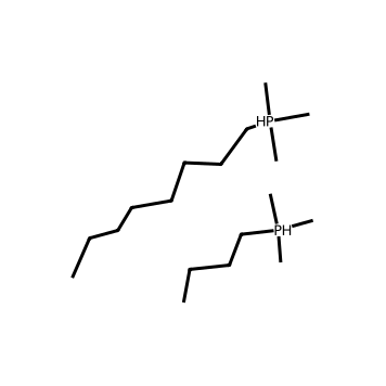 CCCCCCCC[PH](C)(C)C.CCCC[PH](C)(C)C